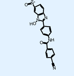 N#Cc1ccc(C(=O)Nc2ccc(-c3nc4ccc([N+](=O)[O-])cc4n3O)cc2)cc1